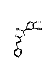 CC(C)(C)c1cc(C(OC(=O)C=Cc2ccccc2)C(C)(C)C)ccc1O